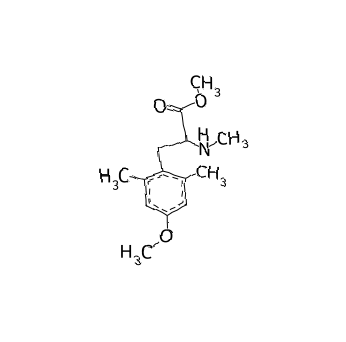 CNC(Cc1c(C)cc(OC)cc1C)C(=O)OC